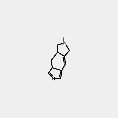 C1=NC=C2C=C3CNCC3CC12